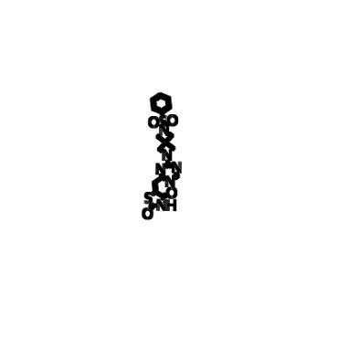 O=C1NC(=O)/C(=C\c2ncnc(N3CC4(C3)CN(S(=O)(=O)c3ccccc3)C4)n2)S1